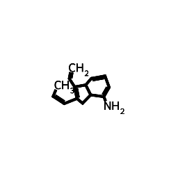 C=CC1=C(/C=C\C)CC2C(N)=CC=CC12